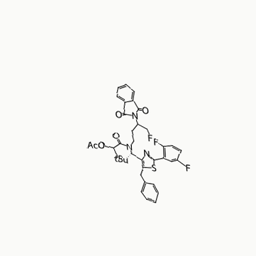 CC(=O)OC(C)C(=O)N(CCC(CF)N1C(=O)c2ccccc2C1=O)[C@H](c1nc(-c2cc(F)ccc2F)sc1Cc1ccccc1)C(C)(C)C